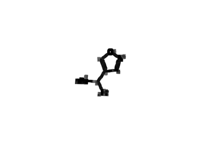 CCCCC(CC)c1cnoc1